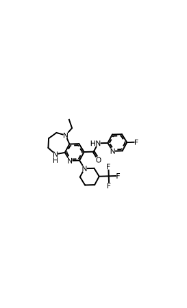 CCN1CCCNc2nc(N3CCCC(C(F)(F)F)C3)c(C(=O)Nc3ccc(F)cn3)cc21